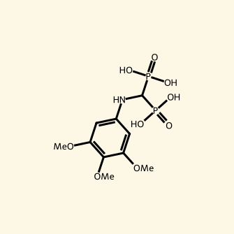 COc1cc(NC(P(=O)(O)O)P(=O)(O)O)cc(OC)c1OC